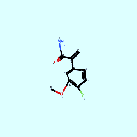 C=C(C(N)=O)c1ccc(F)c(OC)c1